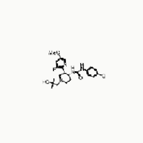 COc1cnc([C@@H]2CN(CC(C)(C)O)CC[C@H]2NC(=O)Nc2ccc(Cl)cc2)c(F)c1